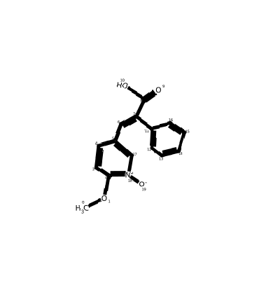 COc1ccc(/C=C(/C(=O)O)c2ccccc2)c[n+]1[O-]